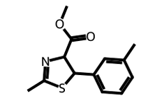 COC(=O)C1N=C(C)SC1c1cccc(C)c1